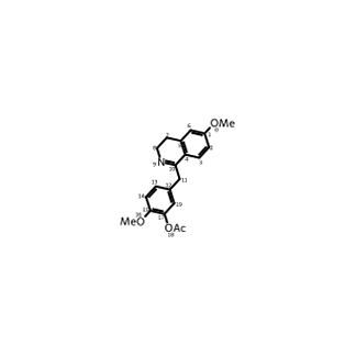 COc1ccc2c(c1)CCN=C2Cc1ccc(OC)c(OC(C)=O)c1